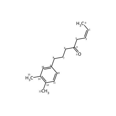 C/C=C\CC(=O)CCCc1ccc(C)c(C)c1